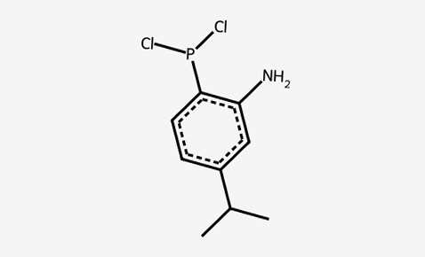 CC(C)c1ccc(P(Cl)Cl)c(N)c1